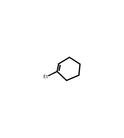 CCC1=[C]CCCC1